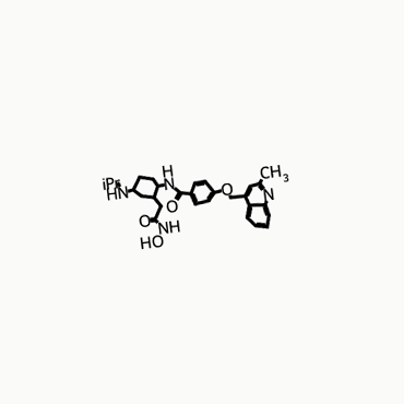 Cc1cc(COc2ccc(C(=O)NC3CCC(NC(C)C)CC3CC(=O)NO)cc2)c2ccccc2n1